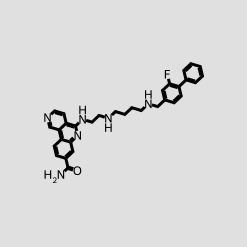 NC(=O)c1ccc2c(c1)nc(NCCNCCCCNCc1ccc(-c3ccccc3)c(F)c1)c1ccncc12